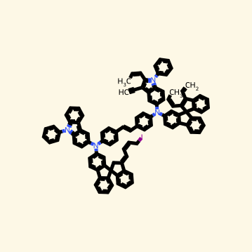 C#Cc1c(/C=C\C)n(-c2ccccc2)c2ccc(N(c3ccc(/C=C/c4ccc(N(c5ccc6c(c5)C5(C/C(=C\C=C/CI)c7ccccc75)c5ccccc5-6)c5ccc6c(c5)c5ccccc5n6-c5ccccc5)cc4)cc3)c3ccc4c(c3)C3(C(/C=C\C)=C(C=C)c5ccccc53)c3ccccc3-4)cc12